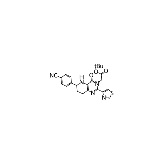 CC(C)(C)OC(=O)Cn1c(-c2cscn2)nc2c(c1=O)NC(c1ccc(C#N)cc1)CC2